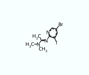 C/C(=N\c1ncc(Br)cc1I)N(C)C